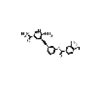 NC(=O)c1cnc(N)c(C#Cc2cccc(NC(=O)c3ccc(Cl)c(C(F)(F)F)c3)c2)c1